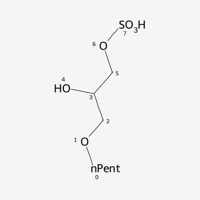 CCCCCOCC(O)COS(=O)(=O)O